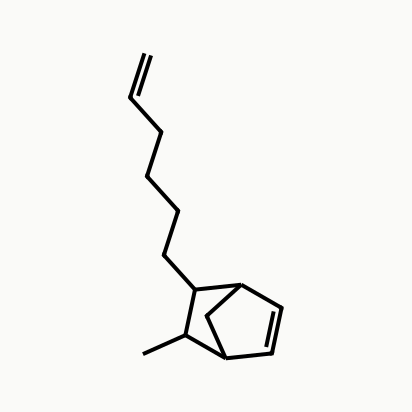 C=CCCCCC1C2C=CC(C2)C1C